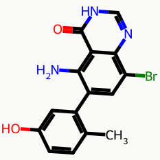 Cc1ccc(O)cc1-c1cc(Br)c2nc[nH]c(=O)c2c1N